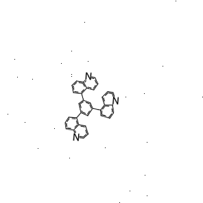 c1cc(-c2cc(-c3cccc4ncccc34)cc(-c3cccc4ncccc34)c2)c2cccnc2c1